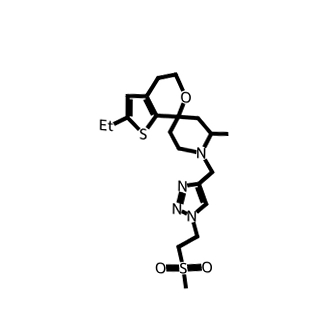 CCc1cc2c(s1)C1(CCN(Cc3cn(CCS(C)(=O)=O)nn3)C(C)C1)OCC2